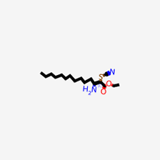 CCCCCCCCCCC/C(N)=C(\SC#N)C(=O)OCC